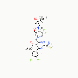 COC(=O)C1=C(CN2CC(F)(F)[C@H]3[C@@H]2CON3C[C@](C)(O)C(C)(C)C(=O)O)NC(c2nccs2)=N[C@H]1c1ccc(F)c(F)c1C